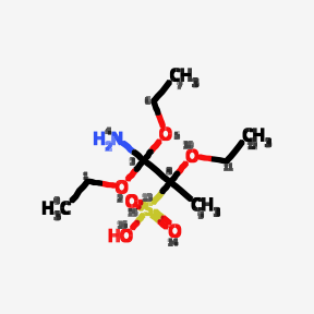 CCOC(N)(OCC)C(C)(OCC)S(=O)(=O)O